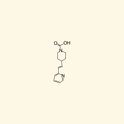 O=C(O)N1CCC(C=Cc2ccccn2)CC1